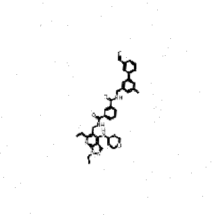 CCc1nc2c(cnn2CC)c(NC2CCOCC2)c1CNC(=O)c1cccc(C(=O)NCc2cc(C)cc(-c3cccc(C=O)c3)c2)c1